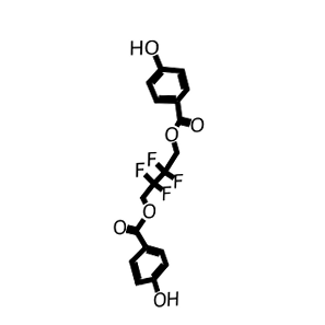 O=C(OCC(F)(F)C(F)(F)COC(=O)c1ccc(O)cc1)c1ccc(O)cc1